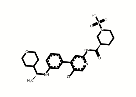 CC(C)S(=O)(=O)N1CCC[C@@H](C(=O)Nc2cc(-c3cccc(N[C@H](C)C4CCOCC4)c3)c(Cl)cn2)C1